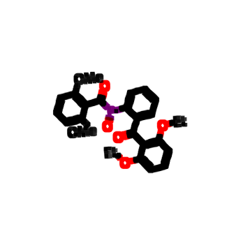 CCOc1cccc(OCC)c1C(=O)c1ccccc1[P](=O)C(=O)c1c(OC)cccc1OC